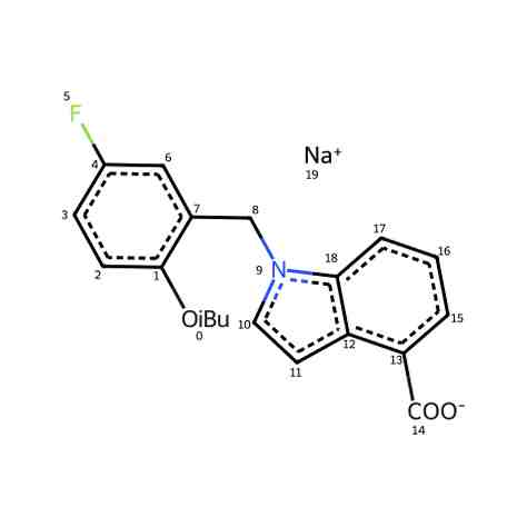 CC(C)COc1ccc(F)cc1Cn1ccc2c(C(=O)[O-])cccc21.[Na+]